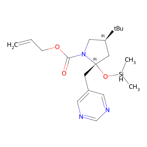 C=CCOC(=O)N1C[C@@H](C(C)(C)C)C[C@]1(Cc1cncnc1)O[SiH](C)C